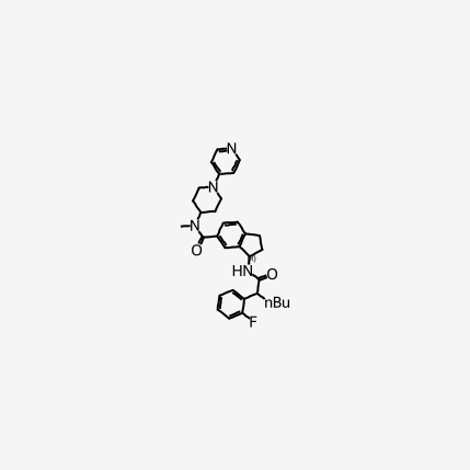 CCCCC(C(=O)N[C@@H]1CCc2ccc(C(=O)N(C)C3CCN(c4ccncc4)CC3)cc21)c1ccccc1F